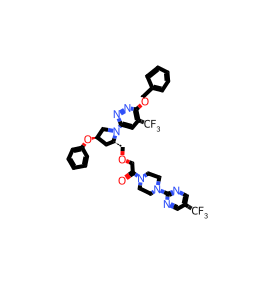 O=C(COC[C@@H]1C[C@@H](Oc2ccccc2)CN1c1cc(C(F)(F)F)c(OCc2ccccc2)nn1)N1CCN(c2ncc(C(F)(F)F)cn2)CC1